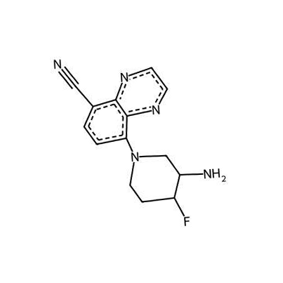 N#Cc1ccc(N2CCC(F)C(N)C2)c2nccnc12